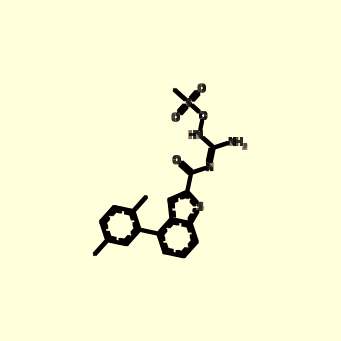 Cc1ccc(C)c(-c2cccc3sc(C(=O)N=C(N)NOS(C)(=O)=O)cc23)c1